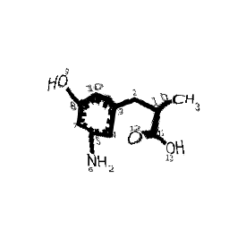 CC(Cc1cc(N)cc(O)c1)C(=O)O